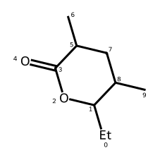 CCC1OC(=O)C(C)CC1C